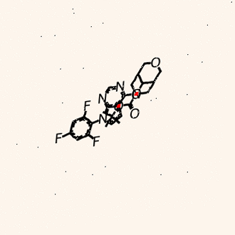 CC(C)(C)OC(=O)N1CC2COCC(C1)C2Oc1ncnc2c1ccn2-c1c(F)cc(F)cc1F